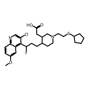 COc1ccc2ncc(Cl)c(C(F)CCC3CCN(CCSC4CCCC4)CC3CC(=O)O)c2c1